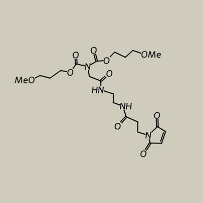 COCCCOC(=O)N(CC(=O)NCCNC(=O)CCN1C(=O)C=CC1=O)C(=O)OCCCOC